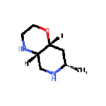 C[C@H]1C[C@H]2OCCN[C@H]2CN1